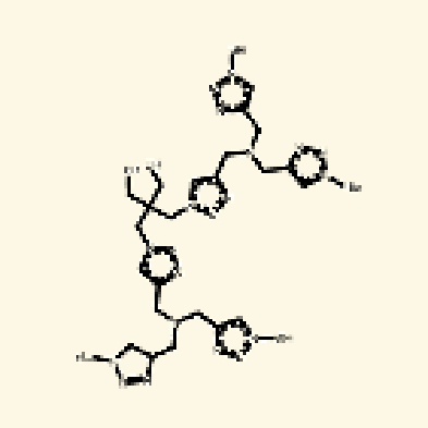 CC(C)(C)N1CC(CN(Cc2cn(CC(CO)(CO)Cn3cc(CN(Cc4cn(C(C)(C)C)nn4)Cc4cn(C(C)(C)C)nn4)nn3)nn2)Cc2cn(C(C)(C)C)nn2)N=N1